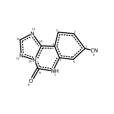 N#Cc1ccc2c(c1)[nH]c(=O)n1ncnc21